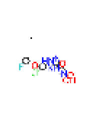 O=C(O)N1CCc2c(oc3c2C(Nc2ccc(OCc4cccc(F)c4)c(Cl)c2)NC=N3)C1